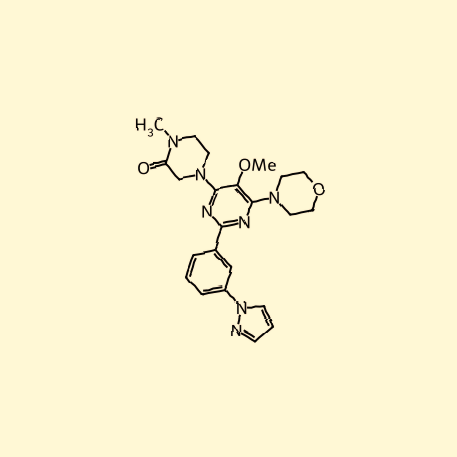 COc1c(N2CCOCC2)nc(-c2cccc(-n3cccn3)c2)nc1N1CCN(C)C(=O)C1